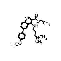 CCOC(=O)c1cnc2ccc(-c3ccc(OC)cc3)cc2c1NCCCN(C)C